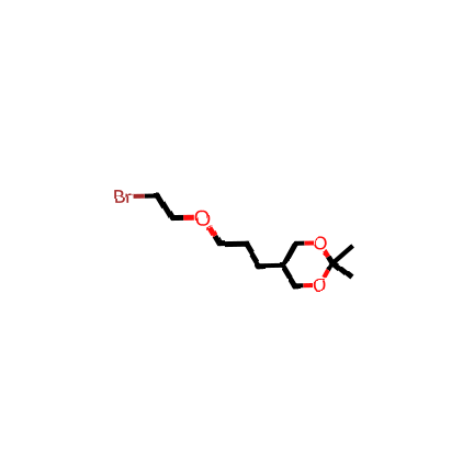 CC1(C)OCC(CCCOCCBr)CO1